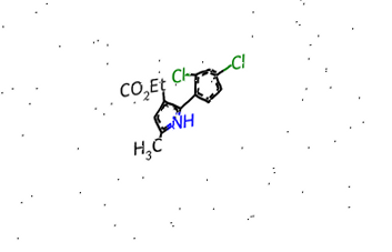 CCOC(=O)c1cc(C)[nH]c1-c1ccc(Cl)cc1Cl